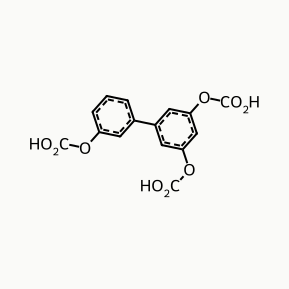 O=C(O)Oc1cccc(-c2cc(OC(=O)O)cc(OC(=O)O)c2)c1